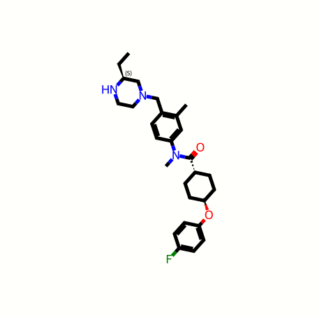 CC[C@H]1CN(Cc2ccc(N(C)C(=O)[C@H]3CC[C@H](Oc4ccc(F)cc4)CC3)cc2C)CCN1